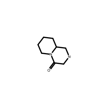 O=C1C[N]CC2CCCCN12